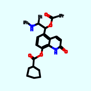 CCC(NC(C)C)C(OC(=O)C(C)C)c1ccc(OC(=O)C2CCCCC2)c2[nH]c(=O)ccc12